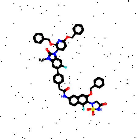 Cn1c(=O)n(-c2ccc(OCc3ccccc3)nc2OCc2ccccc2)c2cc(F)c(-c3ccc(CC(=O)Nc4ccc5c(F)c(N6CC(=O)NS6(=O)=O)c(OCc6ccccc6)cc5c4)cc3)cc21